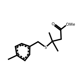 COC(=O)CC(C)(C)SCc1ccc(C)cc1